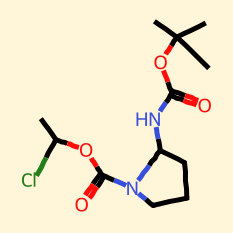 CC(Cl)OC(=O)N1CCCC1NC(=O)OC(C)(C)C